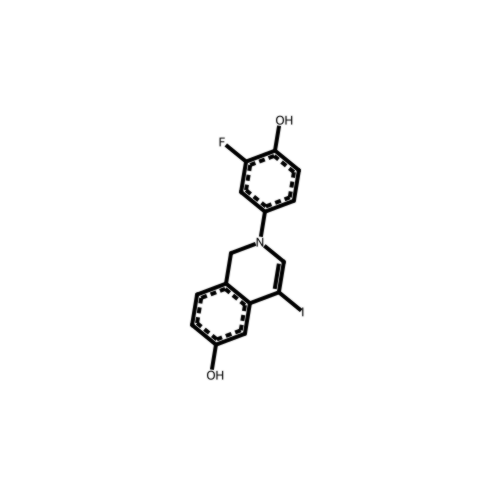 Oc1ccc2c(c1)C(I)=CN(c1ccc(O)c(F)c1)C2